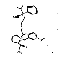 COc1cccc(C[N@+]2(C(=O)CCCC[C@@](C#N)(c3ccccc3)C(C)C)CCCC2C(N)=O)c1